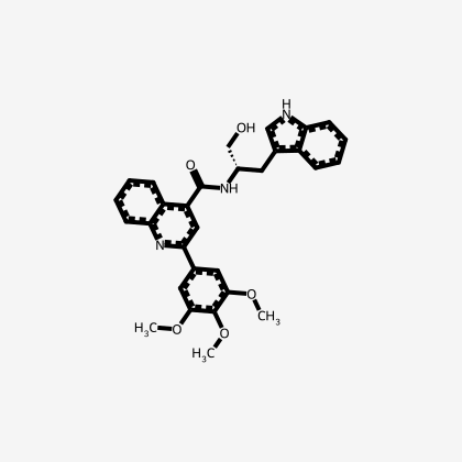 COc1cc(-c2cc(C(=O)N[C@H](CO)Cc3c[nH]c4ccccc34)c3ccccc3n2)cc(OC)c1OC